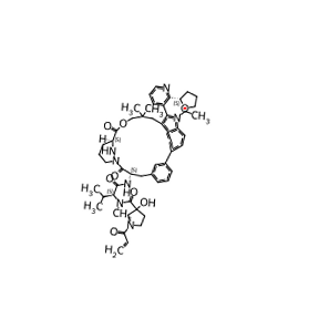 C=CC(=O)N1CCC(O)(C(=O)N(C)[C@H](C(=O)N[C@H]2Cc3cccc(c3)-c3ccc4c(c3)c(c(-c3cccnc3[C@@H]3CCCO3)n4CC)CC(C)(C)COC(=O)[C@@H]3CCCN(N3)C2=O)C(C)C)C1